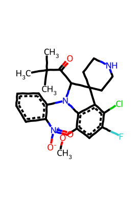 COc1cc(F)c(Cl)c2c1N(c1ccccc1[N+](=O)[O-])C(C(=O)C(C)(C)C)C21CCNCC1